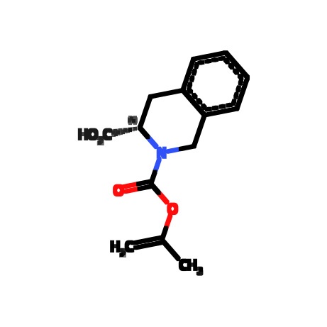 C=C(C)OC(=O)N1Cc2ccccc2C[C@H]1C(=O)O